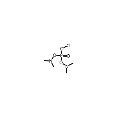 CN(C)OP(=O)(OCl)ON(C)C